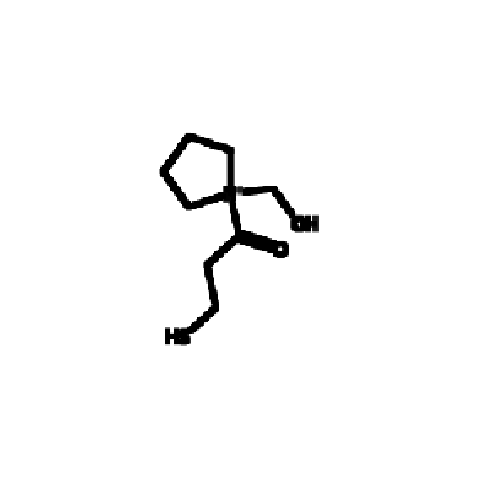 O=C(CCS)[N+]1(CO)CCCC1